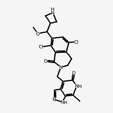 COC(c1cc(Cl)c2c(c1Cl)C(=O)N(Cc1c(=O)[nH]c(C)c3[nH]ncc13)CC2)C1CNC1